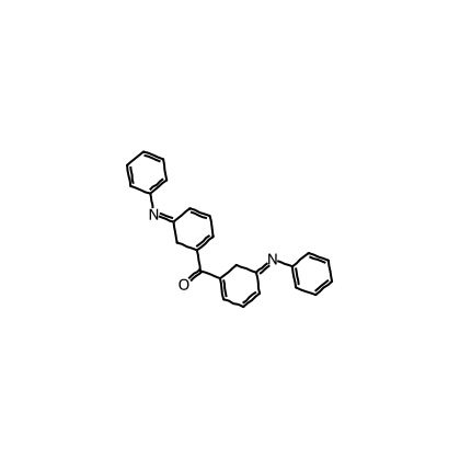 O=C(C1=CC=CC(=Nc2ccccc2)C1)C1=CC=CC(=Nc2ccccc2)C1